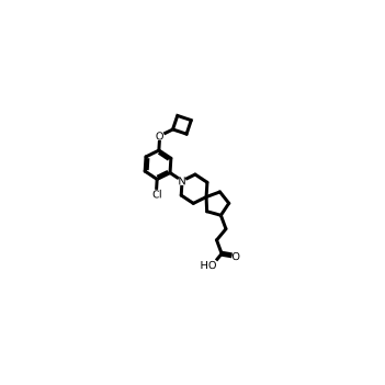 O=C(O)CCC1CCC2(CCN(c3cc(OC4CCC4)ccc3Cl)CC2)C1